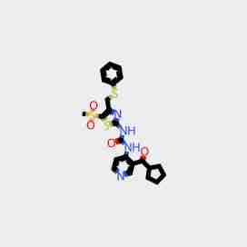 CS(=O)(=O)c1sc(NC(=O)Nc2ccncc2C(=O)C2CCCC2)nc1CSc1ccccc1